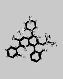 CC(C)c1ccccc1-c1c(CN(C)C)nc(N2CCNC[C@@H]2C)c2cc(Cl)c(-c3ccccc3F)nc12